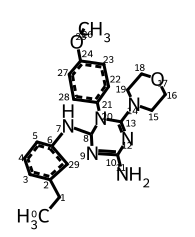 CCc1cccc(NC2N=C(N)N=C(N3CCOCC3)N2c2ccc(OC)cc2)c1